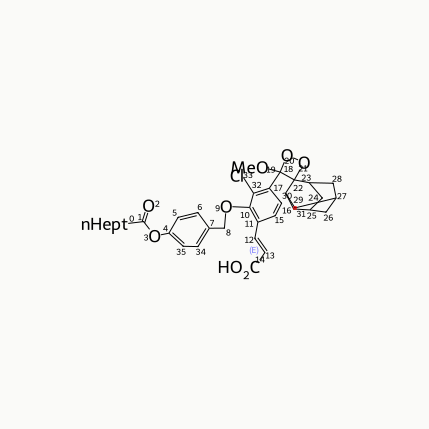 CCCCCCCC(=O)Oc1ccc(COc2c(/C=C/C(=O)O)ccc(C3(OC)OOC34C3CC5CC(C3)CC4C5)c2Cl)cc1